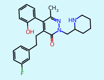 Cc1nn(CC2CCCCN2)c(=O)c(CCc2cccc(F)c2)c1-c1ccccc1O